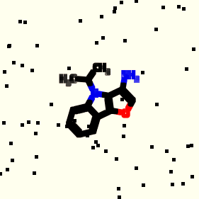 CC(C)n1c2ccccc2c2occ(N)c21